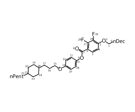 CCCCCCCCCCCOc1ccc(C(=O)Oc2ccc(OCCCC3CCC(CCCCC)CC3)cc2)c(F)c1F